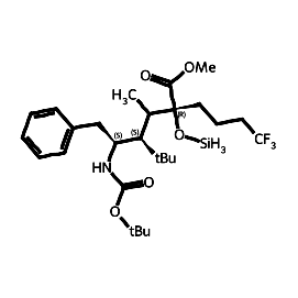 COC(=O)[C@](CCCC(F)(F)F)(O[SiH3])C(C)[C@H]([C@H](Cc1ccccc1)NC(=O)OC(C)(C)C)C(C)(C)C